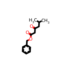 CC(C)CC(=O)CC(=O)OCc1ccccc1